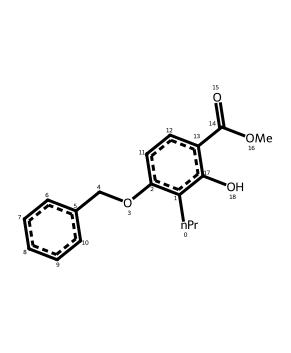 CCCc1c(OCc2ccccc2)ccc(C(=O)OC)c1O